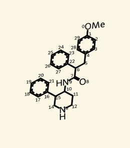 COc1ccc(CC(C(=O)NC2CCNCC2c2ccccc2)c2ccccc2)cc1